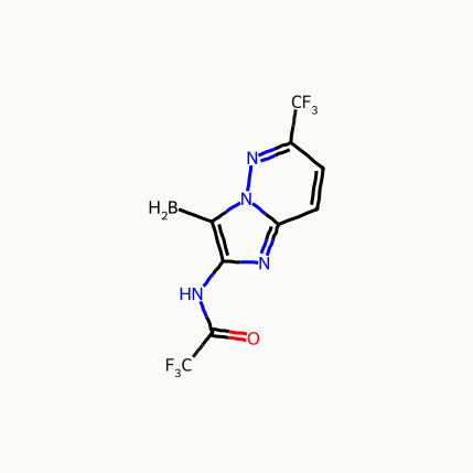 Bc1c(NC(=O)C(F)(F)F)nc2ccc(C(F)(F)F)nn12